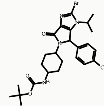 CC(C)n1c(Br)nc2c1C(c1ccc(Cl)cc1)N(C1CCC(NC(=O)OC(C)(C)C)CC1)C2=O